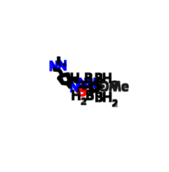 Bc1c(B)c(C(=O)Nc2cc3cc(-c4cnc(C)n4C)ccc3cn2)c(B)c(B)c1OC